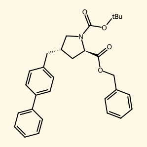 CC(C)(C)OC(=O)N1C[C@@H](Cc2ccc(-c3ccccc3)cc2)C[C@@H]1C(=O)OCc1ccccc1